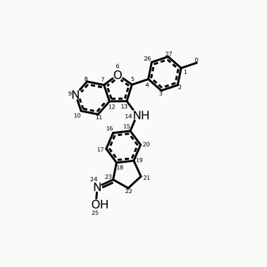 Cc1ccc(-c2oc3cnccc3c2Nc2ccc3c(c2)CCC3=NO)cc1